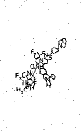 C[C@@H]1[C@@H]2c3c(C(F)(F)F)nn(CC(=O)N[C@@H](Cc4cc(F)cc(F)c4)c4nc5nc(-c6ccc(N7CCOCC7)cc6)sc5cc4-c4ccc5c(c4)C(=O)NC5)c3C(F)(F)[C@H]12